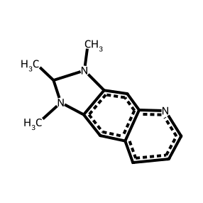 CC1N(C)c2cc3cccnc3cc2N1C